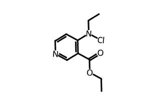 CCOC(=O)c1cnccc1N(Cl)CC